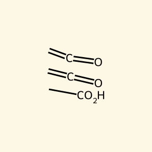 C=C=O.C=C=O.CC(=O)O